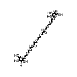 O=C(CCOCCCOCCC(=O)NCCOCCOCCOC1OC(CO)[C@@H](O)C(O)[C@H]1O)NCCOCCOCCOC1OC(CO)[C@@H](O)C(O)[C@H]1O